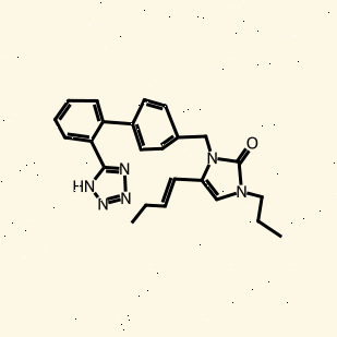 CC/C=C/c1cn(CCC)c(=O)n1Cc1ccc(-c2ccccc2-c2nnn[nH]2)cc1